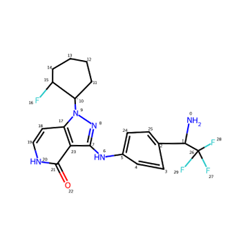 NC(c1ccc(Nc2nn([C]3CCCCC3F)c3cc[nH]c(=O)c23)cc1)C(F)(F)F